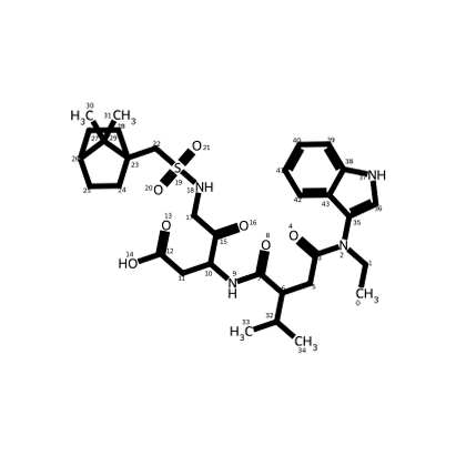 CCN(C(=O)CC(C(=O)NC(CC(=O)O)C(=O)CNS(=O)(=O)CC12CCC(CC1)C2(C)C)C(C)C)c1c[nH]c2ccccc12